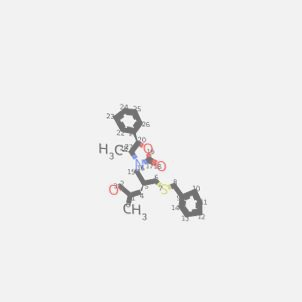 CC(C=O)C[C@@H](CSCc1ccccc1)CN1C(=O)O[C@H](c2ccccc2)[C@H]1C